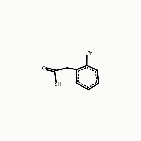 CC(C)c1ccccc1CC(=O)S